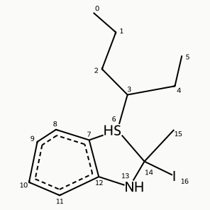 CCCC(CC)[SH]1c2ccccc2NC1(C)I